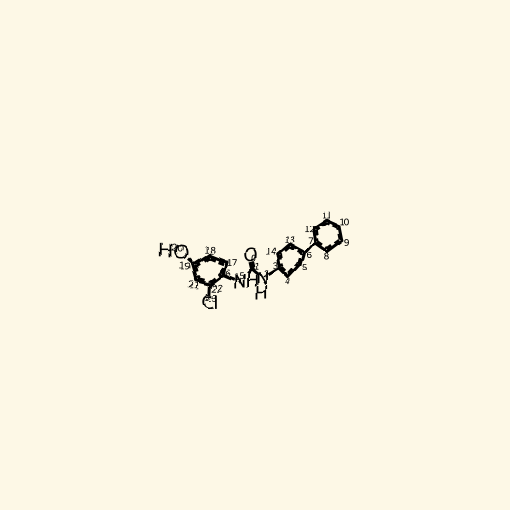 O=C(Nc1ccc(-c2ccccc2)cc1)Nc1ccc(O)cc1Cl